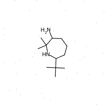 CC(C)(C)C1CCCC(N)C(C)(C)N1